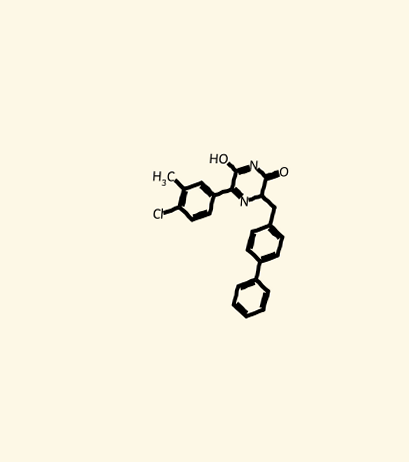 Cc1cc(C2=NC(Cc3ccc(-c4ccccc4)cc3)C(=O)N=C2O)ccc1Cl